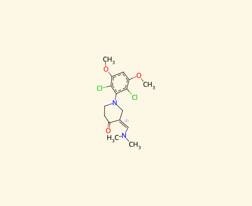 COc1cc(OC)c(Cl)c(N2CCC(=O)/C(=C\N(C)C)C2)c1Cl